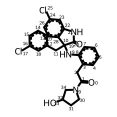 O=C(Cc1ccccc1NC1(Cc2cccc(Cl)c2)C(=O)Nc2cc(Cl)ccc21)N1CCC(O)C1